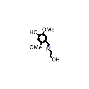 COc1cc(/C=N/CCO)c(OC)cc1O